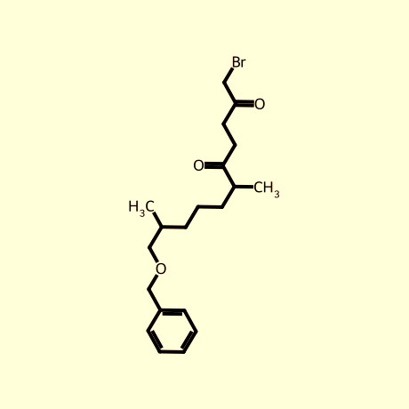 CC(CCCC(C)C(=O)CCC(=O)CBr)COCc1ccccc1